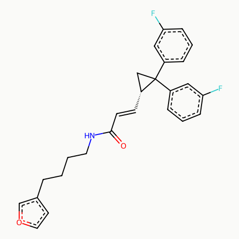 O=C(/C=C/[C@@H]1CC1(c1cccc(F)c1)c1cccc(F)c1)NCCCCc1ccoc1